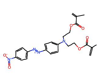 C=C(C)C(=O)OCCN(CCOC(=O)C(=C)C)c1ccc(/N=N/c2ccc([N+](=O)[O-])cc2)cc1